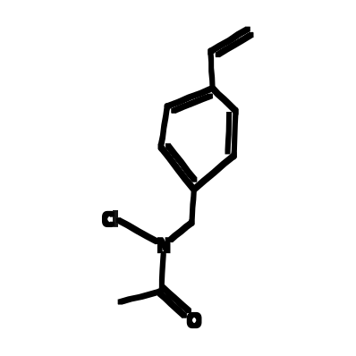 C=Cc1ccc(CN(Cl)C(C)=O)cc1